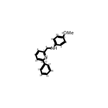 COc1ccc(NCc2cccc(-c3ccccc3)n2)cc1